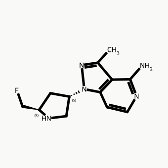 Cc1nn([C@@H]2CN[C@@H](CF)C2)c2ccnc(N)c12